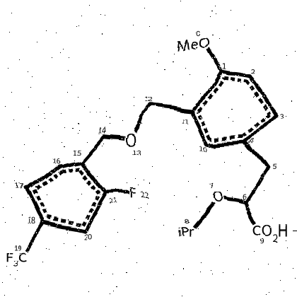 COc1ccc(CC(OC(C)C)C(=O)O)cc1COCc1ccc(C(F)(F)F)cc1F